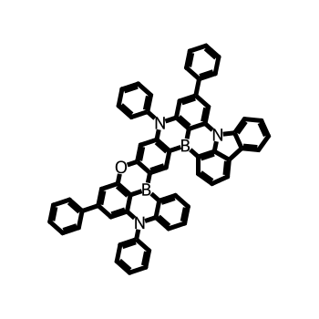 c1ccc(-c2cc3c4c(c2)N(c2ccccc2)c2ccccc2B4c2cc4c(cc2O3)N(c2ccccc2)c2cc(-c3ccccc3)cc3c2B4c2cccc4c5ccccc5n-3c24)cc1